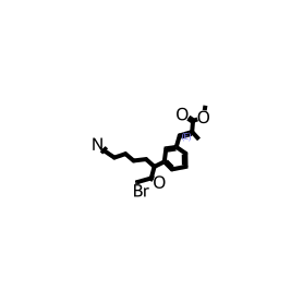 COC(=O)/C(C)=C/c1cccc(C(CCCCC#N)C(=O)CBr)c1